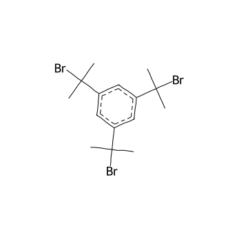 CC(C)(Br)c1cc(C(C)(C)Br)cc(C(C)(C)Br)c1